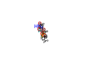 C=C(C)[C@@H]1CC[C@]2(C)S[P@@](=S)(O[C@H]3[C@@H](F)[C@H](n4cc(C)c(=O)[nH]c4=O)O[C@@H]3CC)O[C@H]2C1